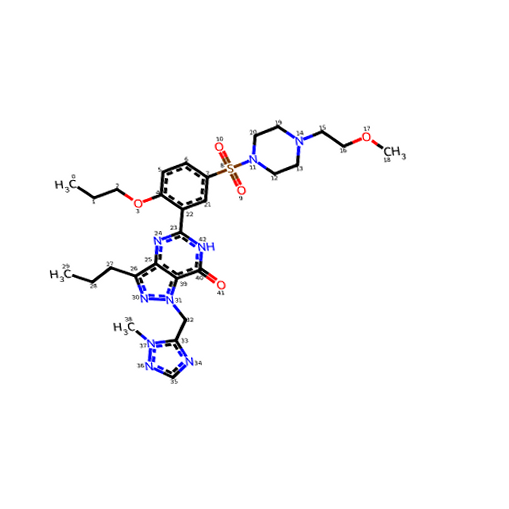 CCCOc1ccc(S(=O)(=O)N2CCN(CCOC)CC2)cc1-c1nc2c(CCC)nn(Cc3ncnn3C)c2c(=O)[nH]1